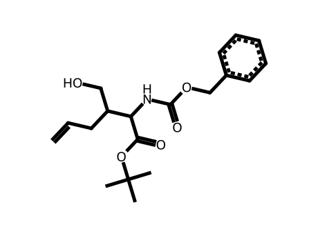 C=CCC(CO)C(NC(=O)OCc1ccccc1)C(=O)OC(C)(C)C